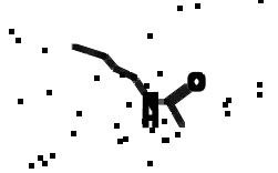 CCCCNC(C)=O